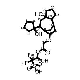 O=C(COC1CC2CC1C(C1(O)CCCC1)CC1(O)CCCC21)OC(O)C(F)(F)S(=O)(=O)O